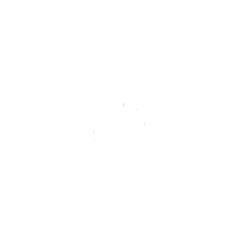 Cc1cc(C)c(S(=O)(=O)C(C)C)c(Cl)c1